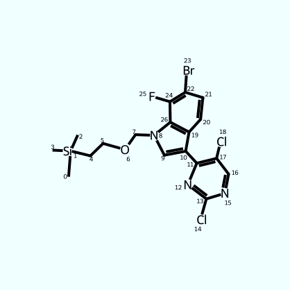 C[Si](C)(C)CCOCn1cc(-c2nc(Cl)ncc2Cl)c2ccc(Br)c(F)c21